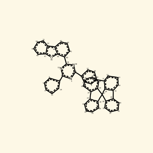 c1ccc(-c2nc(-c3ccc(-c4cccc5c4C4(c6ccccc6-c6ccccc64)c4ccccc4-5)cc3)nc(-c3cccc4c3oc3ccccc34)n2)cc1